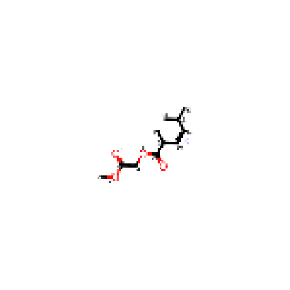 COC(=O)COC(=O)C(C)/C=C\C(C)C